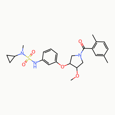 COC1CN(C(=O)c2cc(C)ccc2C)CC1Oc1cccc(NS(=O)(=O)N(C)C2CC2)c1